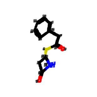 O=C1C[C@@H](SC(=O)Cc2ccccc2)N1